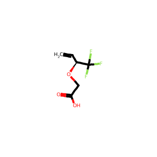 C=C[C@H](OCC(=O)O)C(F)(F)F